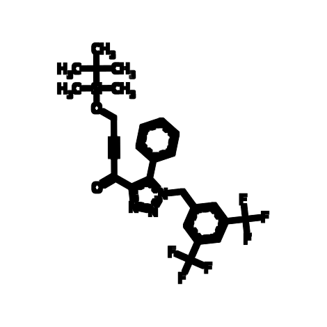 CC(C)(C)[Si](C)(C)OCC#CC(=O)c1nnn(Cc2cc(C(F)(F)F)cc(C(F)(F)F)c2)c1-c1ccccc1